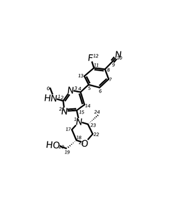 CNc1nc(-c2ccc(C#N)c(F)c2)cc(N2C[C@@H](CO)OC[C@H]2C)n1